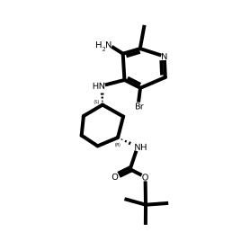 Cc1ncc(Br)c(N[C@H]2CCC[C@@H](NC(=O)OC(C)(C)C)C2)c1N